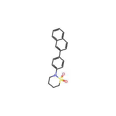 O=S1(=O)CCCCN1c1ccc(-c2ccc3ccccc3c2)cc1